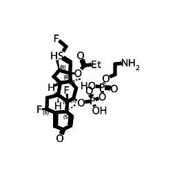 CCC(=O)O[C@]1(C=[SH]CF)[C@H](C)C[C@H]2[C@@H]3C[C@H](F)C4=CC(=O)C=C[C@]4(C)[C@@]3(F)[C@@H](OP(=O)(O)OP(=O)(O)OCCN)C[C@@]21C